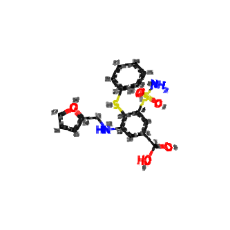 NS(=O)(=O)c1cc(C(=O)O)cc(NCc2ccco2)c1Sc1ccccc1